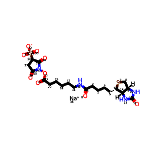 O=C(CCCC[C@@H]1SC[C@@H]2NC(=O)N[C@@H]21)NCCCCCC(=O)ON1C(=O)CC(S(=O)(=O)[O-])C1=O.[Na+]